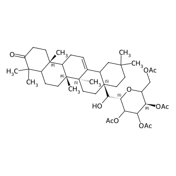 CC(=O)OCC1O[C@@H](C(O)[C@]23CCC(C)(C)CC2C2=CCC4[C@@]5(C)CCC(=O)C(C)(C)C5CC[C@@]4(C)[C@]2(C)CC3)C(OC(C)=O)C(OC(C)=O)[C@@H]1OC(C)=O